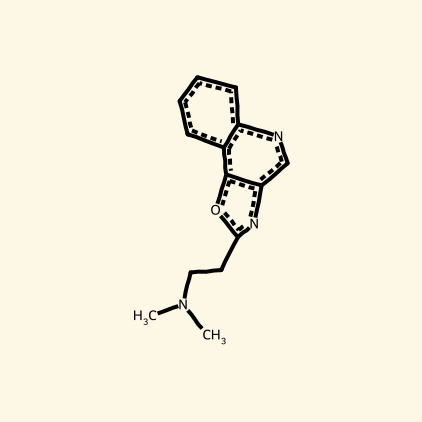 CN(C)CCc1nc2cnc3ccccc3c2o1